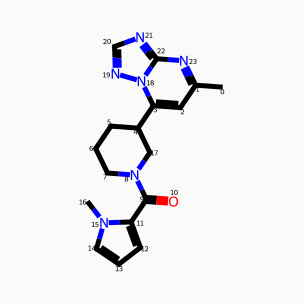 Cc1cc(C2CCCN(C(=O)c3cccn3C)C2)n2ncnc2n1